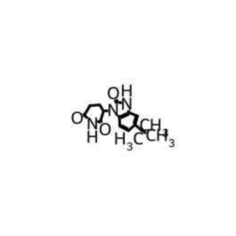 CC(C)(C)c1ccc2c(c1)[nH]c(=O)n2C1CCC(=O)NC1=O